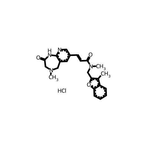 Cc1c(CN(C)C(=O)C=Cc2cnc3c(c2)CN(C)CC(=O)N3)oc2ccccc12.Cl